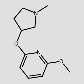 COc1cccc(OC2CCN(C)C2)n1